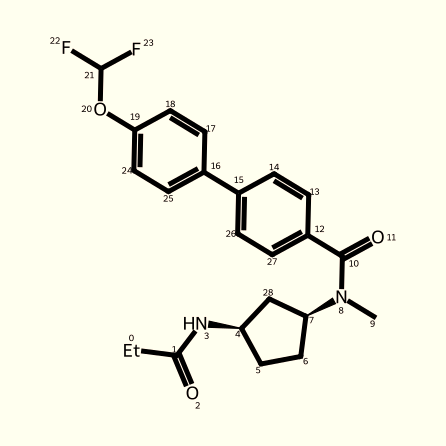 CCC(=O)N[C@@H]1CC[C@H](N(C)C(=O)c2ccc(-c3ccc(OC(F)F)cc3)cc2)C1